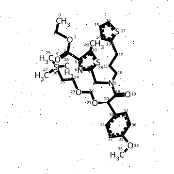 CCOC(=O)c1nc(CN(CCCc2cccs2)C(=O)[C@H](OCOCC[Si](C)(C)C)c2ccc(OC)cc2)sc1C